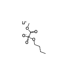 CCCCOP(=O)([O-])C(=O)OC.[Li+]